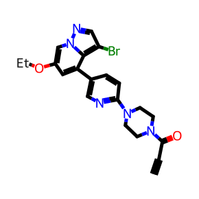 C#CC(=O)N1CCN(c2ccc(-c3cc(OCC)cn4ncc(Br)c34)cn2)CC1